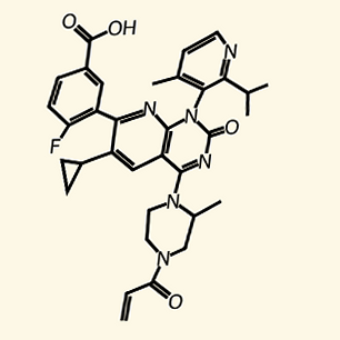 C=CC(=O)N1CCN(c2nc(=O)n(-c3c(C)ccnc3C(C)C)c3nc(-c4cc(C(=O)O)ccc4F)c(C4CC4)cc23)C(C)C1